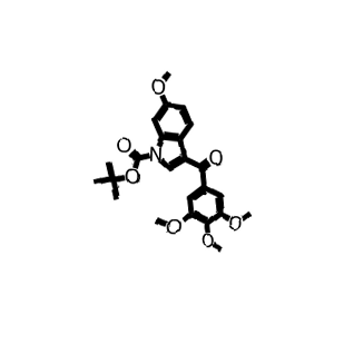 COc1ccc2c(C(=O)c3cc(OC)c(OC)c(OC)c3)cn(C(=O)OC(C)(C)C)c2c1